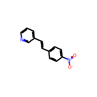 O=[N+]([O-])c1ccc(C=Cc2cccnc2)cc1